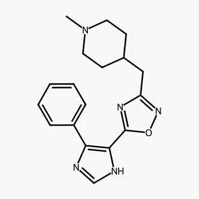 CN1CCC(Cc2noc(-c3[nH]cnc3-c3ccccc3)n2)CC1